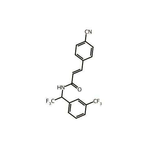 N#Cc1ccc(C=CC(=O)NC(c2cccc(C(F)(F)F)c2)C(F)(F)F)cc1